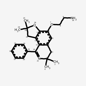 CC1(C)Cc2cc(OCCN)c3c(c2C(c2ccccc2)=N1)CC(C)(C)O3